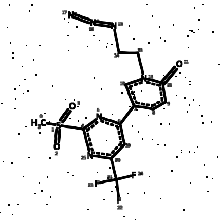 CS(=O)(=O)c1nc(-c2ccc(=O)n(CCN=[N+]=[N-])c2)cc(C(F)(F)F)n1